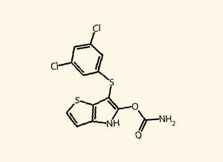 NC(=O)Oc1[nH]c2ccsc2c1Sc1cc(Cl)cc(Cl)c1